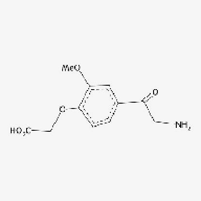 COc1cc(C(=O)CN)ccc1OCC(=O)O